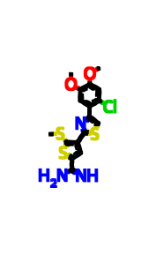 COc1cc(Cl)c(-c2csc(-c3cc(C(=N)N)sc3SC)n2)cc1OC